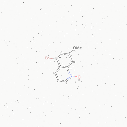 COc1cc(Br)c2ccc[n+]([O-])c2c1